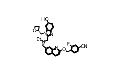 CCN(Cc1ccc2ccc(OCc3ccc(C#N)cc3F)nc2c1)Cc1nc2ccc(O)cc2n1C[C@@H]1CCO1